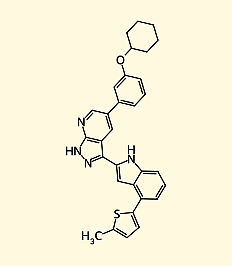 Cc1ccc(-c2cccc3[nH]c(-c4n[nH]c5ncc(-c6cccc(OC7CCCCC7)c6)cc45)cc23)s1